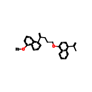 C=C(C)c1ccc(OCCCC(=C)c2cccc3c(OCC)cccc23)c2ccccc12